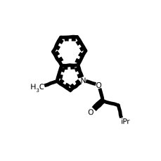 Cc1cn(OC(=O)CC(C)C)c2ccccc12